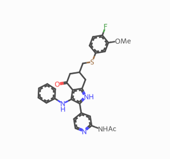 COc1cc(SCC2CC(=O)c3c([nH]c(-c4ccnc(NC(C)=O)c4)c3Nc3ccccc3)C2)ccc1F